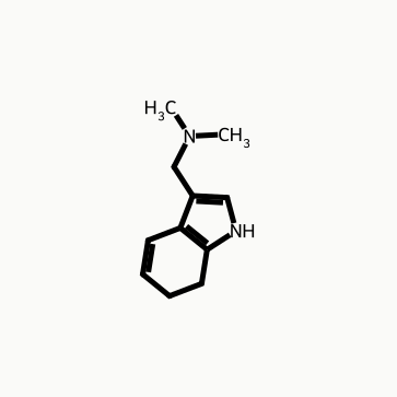 CN(C)Cc1c[nH]c2c1C=CCC2